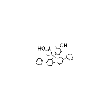 Cc1cc(C2(c3ccc(O)c(C)c3)c3cc(-c4ccccc4)ccc3-c3ccc(-c4ccccc4)cc32)ccc1O